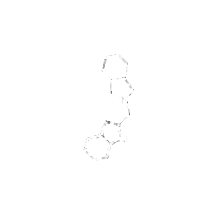 C1=CC2=CN(Cc3cc4ccccc4[nH]3)CC2C=C1